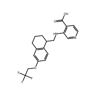 O=C(O)c1ccncc1NCC1CCCc2cc(OCC(F)(F)F)ccc21